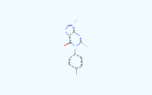 Cn1cnc2c(=O)n(-c3ccc(Br)cc3)c(Cl)nc21